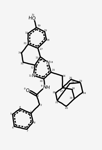 O=C(Cc1ccccc1)Nc1nc2c(nc1CC13CC4CC(CC(C4)C1)C3)-c1ccc(O)cc1CC2